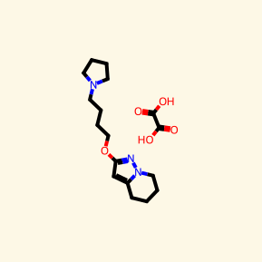 O=C(O)C(=O)O.c1c(OCCCCN2CCCC2)nn2c1CCCC2